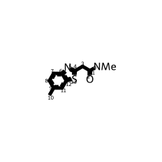 CNC(=O)Cc1nc2ccc(C)cc2s1